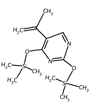 C=C(C)c1cnc(O[Si](C)(C)C)nc1O[Si](C)(C)C